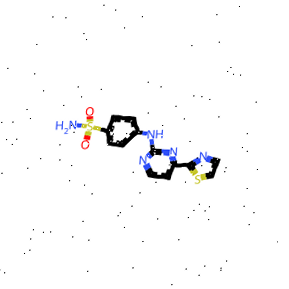 NS(=O)(=O)c1ccc(Nc2nccc(-c3nccs3)n2)cc1